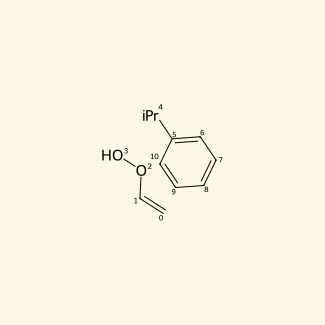 C=COO.CC(C)c1ccccc1